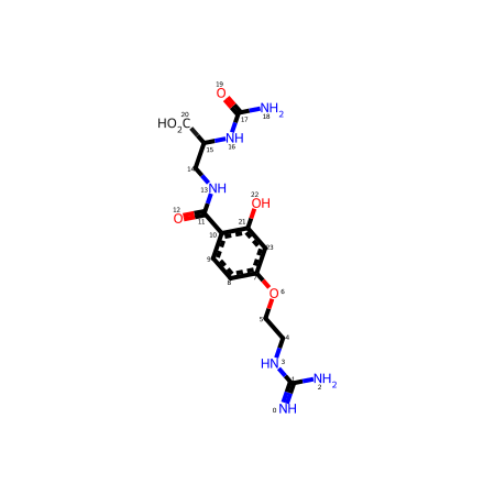 N=C(N)NCCOc1ccc(C(=O)NCC(NC(N)=O)C(=O)O)c(O)c1